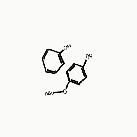 CCCCOc1ccc(O)cc1.Oc1ccccc1